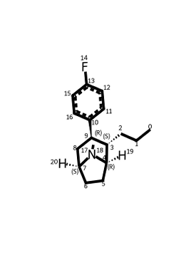 CCC[C@@H]1[C@H]2CC[C@@H](C[C@H]1c1ccc(F)cc1)N2C